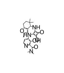 Cc1cc2c(o1)CCC(C)(C)C2Nc1c(Nc2ccnc(C(=O)N(C)C)c2O)c(=O)c1=O